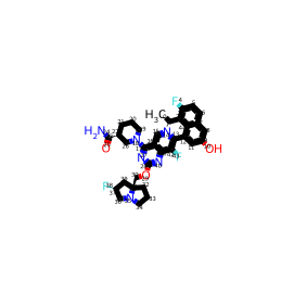 CCc1c(F)ccc2cc(O)cc(-c3ncc4c(N5CCC[C@@H](C(N)=O)C5)nc(OC[C@@]56CCCN5C[C@H](F)C6)nc4c3F)c12